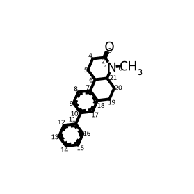 CN1C(=O)CCC2c3ccc(-c4ccccc4)cc3CCC21